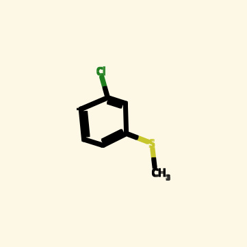 CSc1cc[c]c(Cl)c1